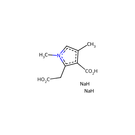 Cc1cn(C)c(CC(=O)O)c1C(=O)O.[NaH].[NaH]